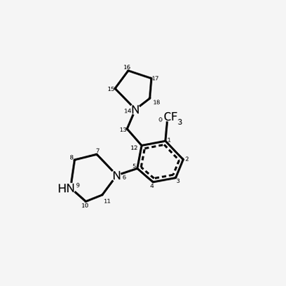 FC(F)(F)c1cccc(N2CCNCC2)c1CN1CCCC1